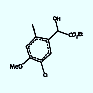 CCOC(=O)C(O)c1cc(Cl)c(OC)cc1C